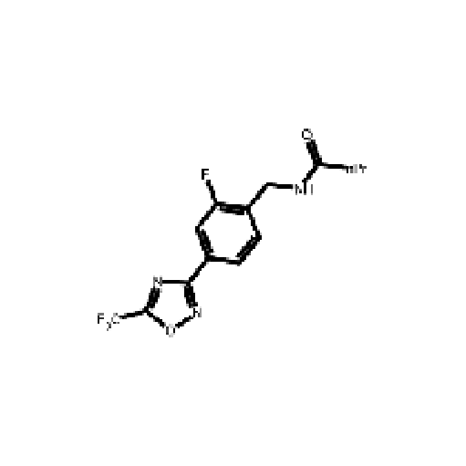 CCCC(=O)NCc1ccc(-c2noc(C(F)(F)F)n2)cc1F